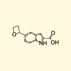 O=C(O)c1cc2cc(C3CCO3)ccc2[nH]1